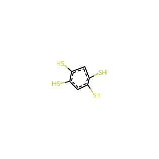 Sc1cc(S)c(S)cc1S